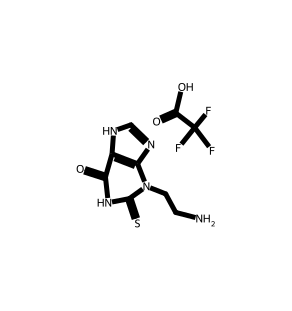 NCCn1c(=S)[nH]c(=O)c2[nH]cnc21.O=C(O)C(F)(F)F